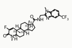 CN1C(=O)C(F)=C[C@]2(C)[C@H]3CC[C@]4(C)[C@@H](C(=O)NCc5nc6cc(C(F)(F)F)ccc6n5C)CC[C@H]4[C@@H]3CC[C@@H]12